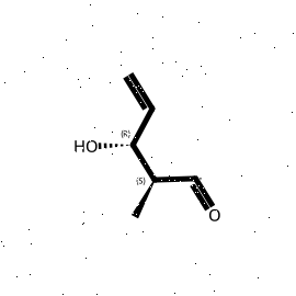 C=C[C@@H](O)[C@H](C)[C]=O